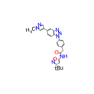 Cn1cc(-c2ccc3c(c2)nnn3-c2ccc(CC(=O)Nc3cc(C(C)(C)C)no3)cc2)cn1